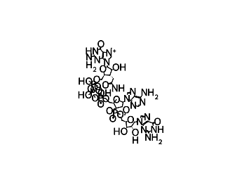 CNC(=O)C[C@H]1[C@@H](O)[C@H](n2c[n+](C)c3c(=O)[nH]c(N)nc32)O[C@@H]1COP(=O)(O)OP(=O)(O)OP(=O)(O)OC[C@H]1O[C@@H](n2cnc3c(N)ncnc32)[C@H](OC)[C@@H]1P(=O)([O-])OC[C@H]1O[C@@H](n2cnc3c(=O)[nH]c(N)nc32)[C@H](O)[C@@H]1O